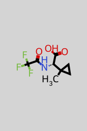 CC1([C@H](NC(=O)C(F)(F)F)C(=O)O)CC1